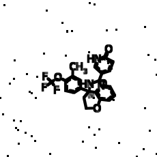 Cc1cc([C@@]2(NC(=O)c3ccc(=O)[nH]c3)CCOc3cccnc32)ccc1OC(F)(F)F